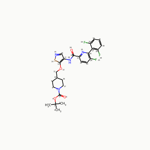 CC(C)(C)OC(=O)N1CCC(COc2sncc2NC(=O)c2ccc(F)c(-c3c(F)cccc3F)n2)CC1